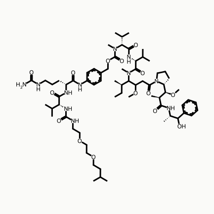 CC[C@@H](C)C(C(CC(=O)N1CCC[C@@H]1[C@@H](OC)[C@H](C)C(=O)N[C@@H](C)C(O)c1ccccc1)OC)N(C)C(=O)[C@H](NC(=O)[C@@H](C(C)C)N(C)C(=O)OCc1ccc(NC(=O)[C@@H](CCCNC(N)=O)NC(=O)[C@H](NC(=O)NCCOCCOCCC(C)C)C(C)C)cc1)C(C)C